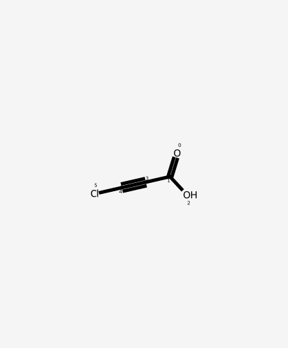 O=C(O)C#CCl